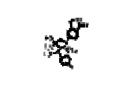 COc1cc(F)ccc1C(C)C(C)C(O)(C=Nc1ccc2c(c1)CNC2=O)C(F)(F)F